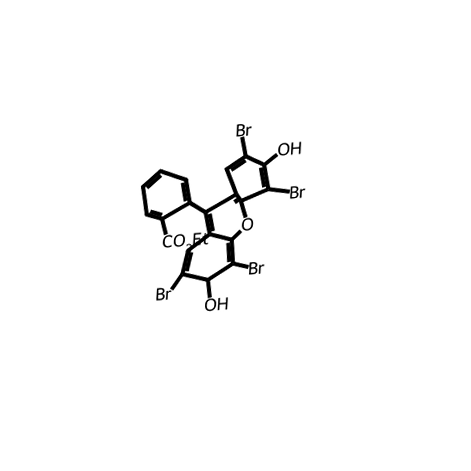 CCOC(=O)c1ccccc1C1=C2C=C(Br)C(O)C(Br)=C2Oc2c1cc(Br)c(O)c2Br